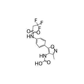 Cc1noc(-c2ccc(NS(=O)(=O)CC(F)(F)F)cc2)c1NC(=O)O